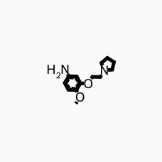 COc1ccc(N)cc1OCCN1CCCC1